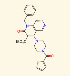 CCOC(=O)c1c(N2CCN(C(=O)c3cccs3)CC2)c2cnccc2n(Cc2ccccc2)c1=O